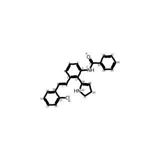 O=C(Nc1cccc(/C=C/c2ccccc2Cl)c1C1=CCCN1)c1ccccc1